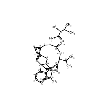 CC(C)[C@H](O)C(=O)N[C@H]1Cc2ccc3c(c2)[C@@]2(c4ccccc4NC2O3)c2oc(nc2C(N)=O)[C@H](C(C)C)NC1=O